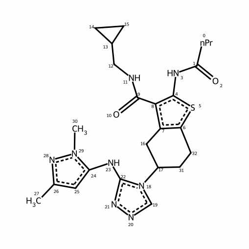 CCCC(=O)Nc1sc2c(c1C(=O)NCC1CC1)CC(n1cnnc1Nc1cc(C)nn1C)CC2